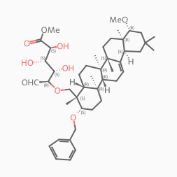 COC(=O)[C@@H](O)[C@@H](O)[C@H](O)[C@H](C=O)OC[C@]1(C)[C@@H]2CC[C@]3(C)[C@H](CC=C4[C@@H]5CC(C)(C)C[C@@H](OC)[C@]5(C)CC[C@]43C)[C@@]2(C)CC[C@@H]1OCc1ccccc1